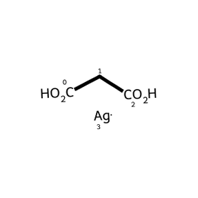 O=C(O)CC(=O)O.[Ag]